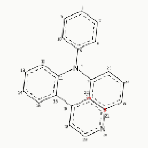 c1ccc(N(c2ccccc2)c2ccccc2-c2ccncc2)cc1